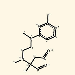 Cc1nccc(N(C)CCN(C)C(C)(C=O)CC=O)n1